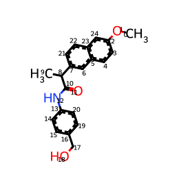 COc1ccc2cc(C(C)C(=O)Nc3ccc(CO)cc3)ccc2c1